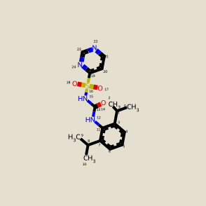 CC(C)c1cccc(C(C)C)c1NC(=O)NS(=O)(=O)c1ccncn1